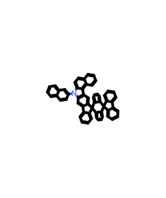 c1ccc2c(c1)-c1ccccc1C21c2ccccc2C2(c3ccccc3-c3cc4c(cc32)c2c3ccccc3ccc2n4-c2ccc3ccccc3c2)c2ccccc21